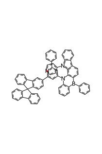 c1ccc(B2c3ccccc3N(c3cc(-c4ccccc4)nc(-c4ccc5c(c4)-c4ccccc4C54c5ccccc5-c5ccccc54)c3)c3c2ccc2c4ccccc4n(-c4ccccc4)c32)cc1